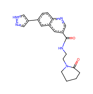 O=C(NCCN1CCCCC1=O)c1cnc2ccc(-c3cn[nH]c3)cc2c1